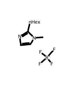 CCCCCCc1nccn1C.F[B-](F)(F)F